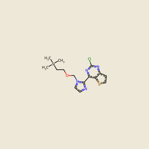 C[Si](C)(C)CCOCn1ccnc1-c1nc(Cl)nc2ccsc12